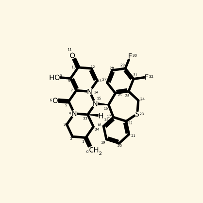 C=C1CCN2C(=O)c3c(O)c(=O)ccn3N([C@@H]3c4ccccc4SCc4c3ccc(F)c4F)[C@@H]2C1